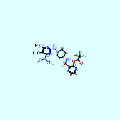 Cc1nc(N[C@H]2CC[C@@H](NC(=O)c3cccnc3OC(=O)C(F)(F)F)CC2)nc(N(C)C)c1C